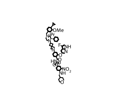 COc1cc(CN2CCN(C3CC4(C3)CN(c3ccc(C(=O)NS(=O)(=O)c5ccc(NCC6CCOCC6)c([N+](=O)[O-])c5)c(Oc5cnc6[nH]cc(F)c6c5)c3)C4)[C@H](c3ccccc3C(C)C)C2)ccc1C1CC1